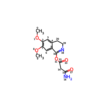 COc1cc2c(cc1OC)C(OC(=O)CC(N)=O)=NCC2